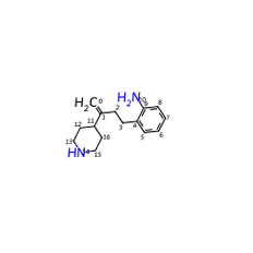 C=C(CCc1ccccc1N)C1CCNCC1